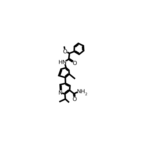 COC(C(=O)Nc1ccc(-c2cnc(C(C)C)c(C(N)=O)c2)c(C)c1)c1ccccc1